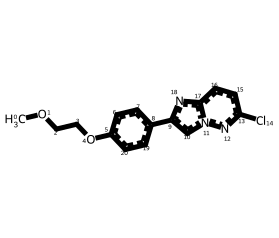 COCCOc1ccc(-c2cn3nc(Cl)ccc3n2)cc1